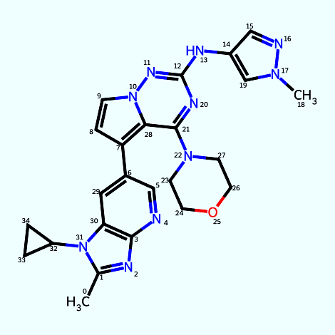 Cc1nc2ncc(-c3ccn4nc(Nc5cnn(C)c5)nc(N5CCOCC5)c34)cc2n1C1CC1